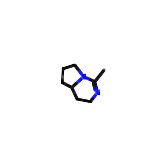 CC1=NCCC2CCCN12